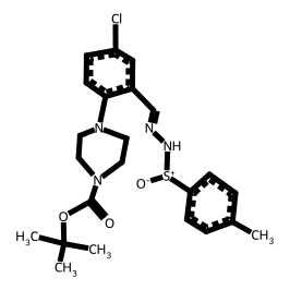 Cc1ccc([S+]([O-])N/N=C/c2cc(Cl)ccc2N2CCN(C(=O)OC(C)(C)C)CC2)cc1